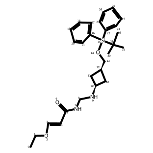 CCOC=CC(=O)NCN[C@H]1C[C@@H](CO[Si](c2ccccc2)(c2ccccc2)C(C)(C)C)C1